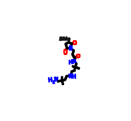 CSC1CC(=O)N(CCC(=O)NCC(C)(C)CCNCCC(C)(C)CN)C1=O